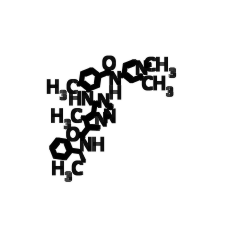 CC[C@H](NC(=O)c1cn2ncnc(Nc3cc(C(=O)NC4=CC(C)N(C)C=C4)ccc3C)c2c1C)c1ccccc1